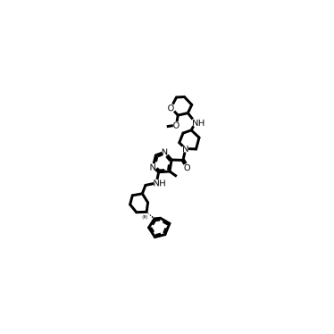 COC1OCCCC1NC1CCN(C(=O)c2ncnc(NCC3CCC[C@@H](c4ccccc4)C3)c2C)CC1